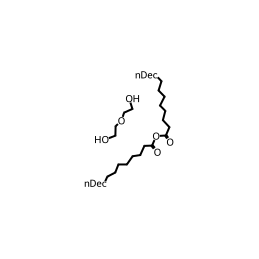 CCCCCCCCCCCCCCCCCC(=O)OC(=O)CCCCCCCCCCCCCCCCC.OCCOCCO